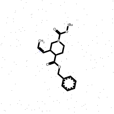 C/C=C\C1CN(C(=O)OC(C)(C)C)CCC1C(=O)OCc1ccccc1